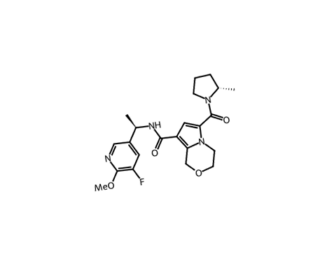 COc1ncc([C@@H](C)NC(=O)c2cc(C(=O)N3CCC[C@@H]3C)n3c2COCC3)cc1F